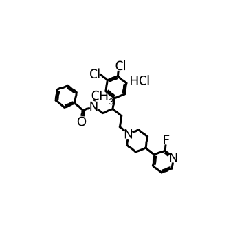 CN(CC(CCN1CCC(c2cccnc2F)CC1)c1ccc(Cl)c(Cl)c1)C(=O)c1ccccc1.Cl